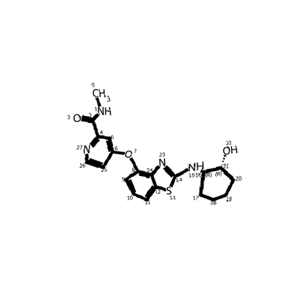 CNC(=O)c1cc(Oc2cccc3sc(N[C@@H]4CCCC[C@H]4O)nc23)ccn1